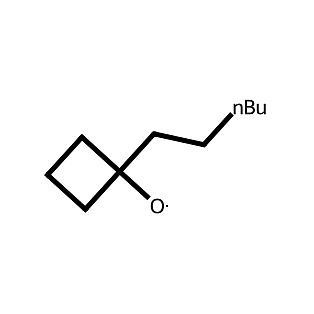 CCCCCCC1([O])CCC1